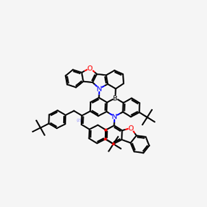 CC(C)(C)C1=CC=C(/C=C(/Cc2ccc(C(C)(C)C)cc2)c2cc3c4c(c2)-n2c5c(c6oc7ccccc7c62)C=CCC5B4c2ccc(C(C)(C)C)cc2N3c2cccc3c2oc2ccccc23)CC1